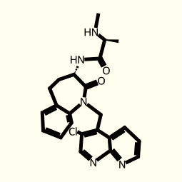 CN[C@@H](C)C(=O)N[C@H]1CCc2ccccc2N(Cc2c(Cl)cnc3ncccc23)C1=O